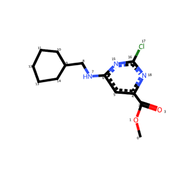 COC(=O)c1cc(NCC2CCCCC2)nc(Cl)n1